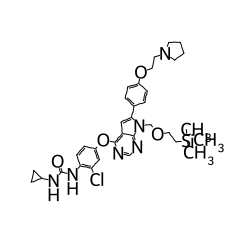 C[Si](C)(C)CCOCn1c(-c2ccc(OCCN3CCCC3)cc2)cc2c(Oc3ccc(NC(=O)NC4CC4)c(Cl)c3)ncnc21